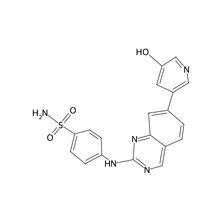 NS(=O)(=O)c1ccc(Nc2ncc3ccc(-c4cncc(O)c4)cc3n2)cc1